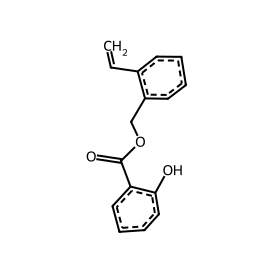 C=Cc1ccccc1COC(=O)c1ccccc1O